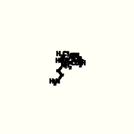 CC(=O)O.CC(=O)O.CC(=O)O.NCCN.[Ag]